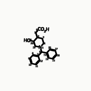 O=C(O)CC1CCN(C(c2ccccc2)c2ccccc2)CC1O